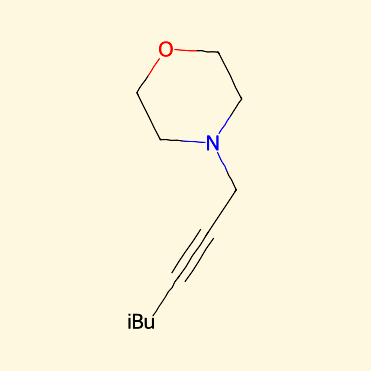 CCC(C)C#CCN1CCOCC1